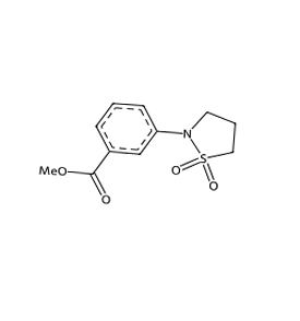 COC(=O)c1cccc(N2CCCS2(=O)=O)c1